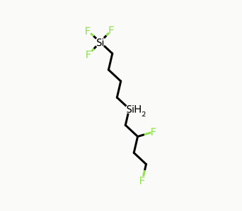 FCCC(F)C[SiH2]CCCC[Si](F)(F)F